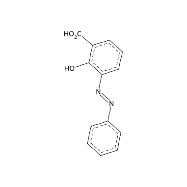 O=C(O)c1cccc(/N=N/c2ccccc2)c1O